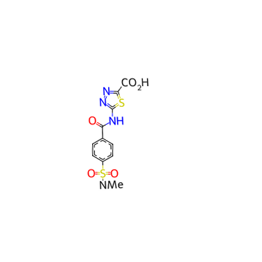 CNS(=O)(=O)c1ccc(C(=O)Nc2nnc(C(=O)O)s2)cc1